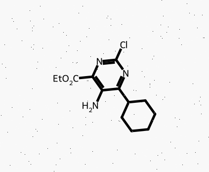 CCOC(=O)c1nc(Cl)nc(C2CCCCC2)c1N